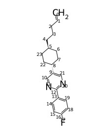 C=CCCC[C@H]1CC[C@H](c2cnc(-c3ccc(F)cc3)nc2)CC1